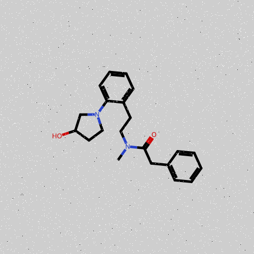 CN(CCc1ccccc1N1CCC(O)C1)C(=O)Cc1ccccc1